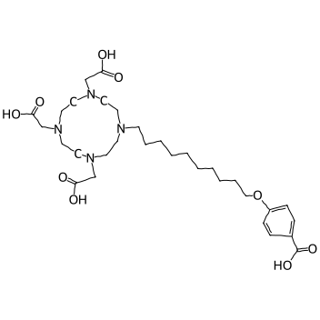 O=C(O)CN1CCN(CCCCCCCCCCOc2ccc(C(=O)O)cc2)CCN(CC(=O)O)CCN(CC(=O)O)CC1